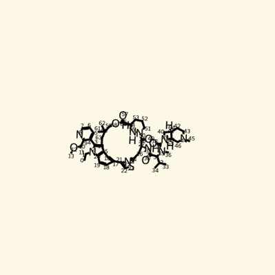 CCn1c(-c2cccnc2[C@H](C)OC)c2c3cc(ccc31)-c1csc(n1)C[C@H](NC(=O)C(C(C)C)N(C)C(=O)N1C[C@H]3CCN(C)C[C@H]31)C(=O)N1CCC[C@H](N1)C(=O)OCC(C)(C)C2